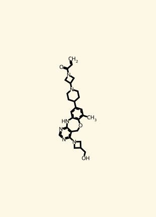 C=CC(=O)N1CC(N2CCC(c3cc(C)c4c(c3)Nc3ncnc(N5CC(CO)C5)c3CO4)CC2)C1